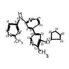 Cc1nccc(Nc2cc(-c3cnc(C)c(OC4CCCC4)c3)ccn2)n1